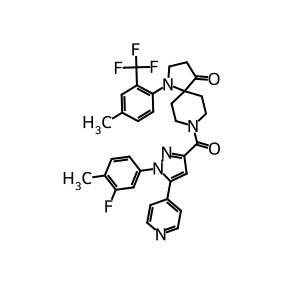 Cc1ccc(N2CCC(=O)C23CCN(C(=O)c2cc(-c4ccncc4)n(-c4ccc(C)c(F)c4)n2)CC3)c(C(F)(F)F)c1